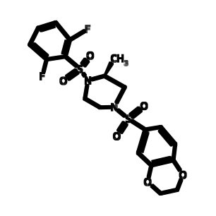 C[C@H]1CN(S(=O)(=O)c2ccc3c(c2)OCCO3)CCN1S(=O)(=O)c1c(F)cccc1F